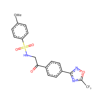 COc1ccc(S(=O)(=O)NCC(=O)c2ccc(-c3noc(C(F)(F)F)n3)cc2)cc1